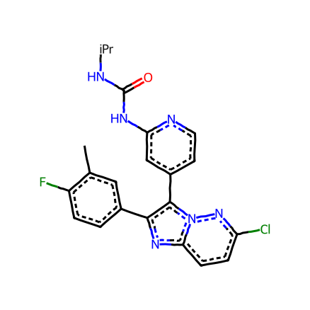 Cc1cc(-c2nc3ccc(Cl)nn3c2-c2ccnc(NC(=O)NC(C)C)c2)ccc1F